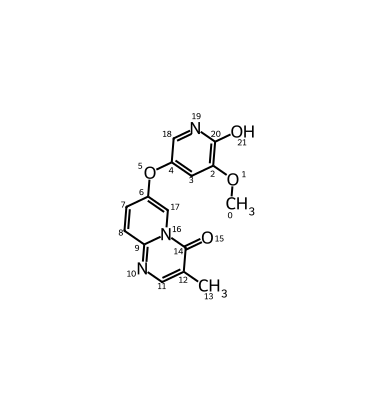 COc1cc(Oc2ccc3ncc(C)c(=O)n3c2)cnc1O